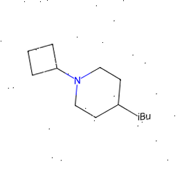 CCC(C)C1CCN(C2CCC2)CC1